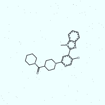 Cn1c(-c2cc(N3CCC(C(=O)N4CCCCC4)CC3)ncc2Cl)nc2ccccc21